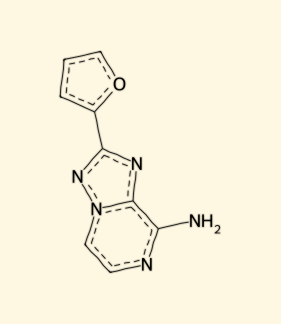 Nc1nccn2nc(-c3ccco3)nc12